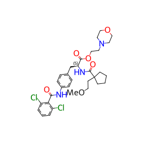 COCCC1(C(=O)N[C@@H](Cc2ccc(NC(=O)c3c(Cl)cccc3Cl)cc2)C(=O)OCCN2CCOCC2)CCCC1